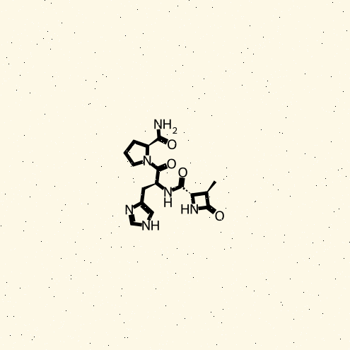 C[C@H]1C(=O)N[C@@H]1C(=O)N[C@@H](Cc1c[nH]cn1)C(=O)N1CCC[C@H]1C(N)=O